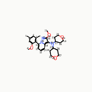 COc1cc(C)cc(C)c1-c1cccc2c(N(C3CCOCC3)C3CCOCC3)c(OC)nn12